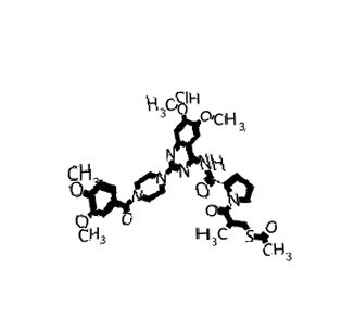 COc1ccc(C(=O)N2CCN(c3nc(NC(=O)[C@@H]4CCCN4C(=O)C(C)CSC(C)=O)c4cc(OC)c(OC)cc4n3)CC2)cc1OC.Cl